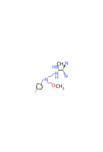 CNC(NCCCN(CCOC)Cc1ccc(F)cc1)=C(C#N)C#N